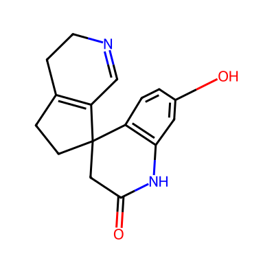 O=C1CC2(CCC3=C2C=NCC3)c2ccc(O)cc2N1